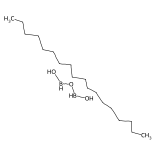 CCCCCCCCCCCCCCCCCC.OBOBO